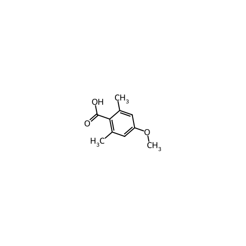 COc1cc(C)c(C(=O)O)c(C)c1